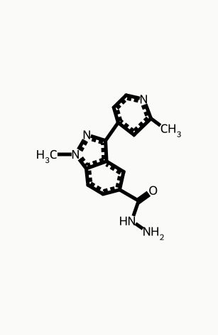 Cc1cc(-c2nn(C)c3ccc(C(=O)NN)cc23)ccn1